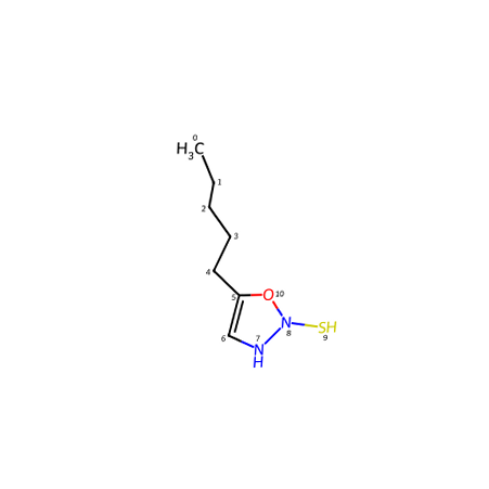 CCCCCC1=CNN(S)O1